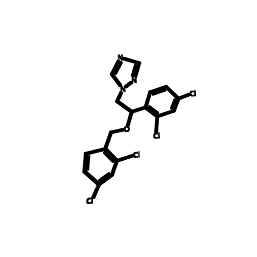 Clc1ccc(COC(Cn2cncn2)c2ccc(Cl)cc2Cl)c(Cl)c1